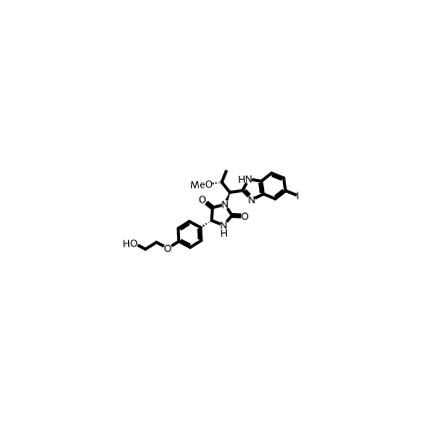 CO[C@H](C)[C@@H](c1nc2cc(I)ccc2[nH]1)N1C(=O)N[C@H](c2ccc(OCCO)cc2)C1=O